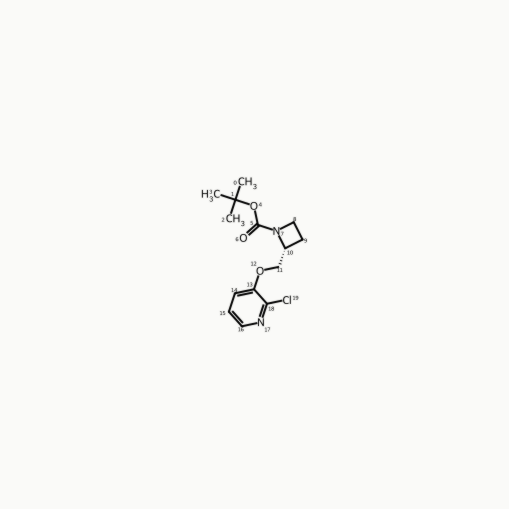 CC(C)(C)OC(=O)N1CC[C@@H]1COc1cccnc1Cl